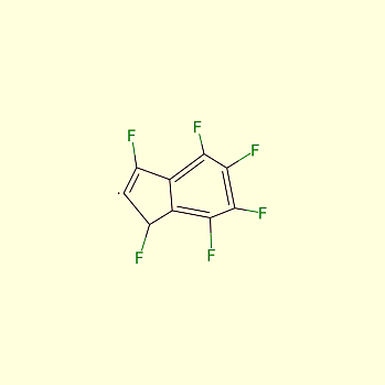 FC1=[C]C(F)c2c(F)c(F)c(F)c(F)c21